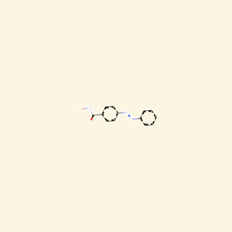 O=C(NO)c1ccc(/N=N/c2ccccc2)cc1